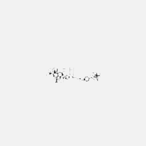 CC(=O)N(C)C[C@H](O)c1ccc(OCCCCNC2CCN(c3c(F)cc4c(=O)c(C(=O)O)cn(C5CC5)c4c3Cl)C2)cc1